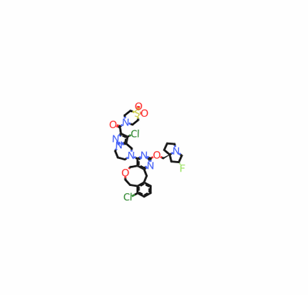 O=C(c1nn2c(c1Cl)CN(c1nc(OC[C@@]34CCCN3C[C@H](F)C4)nc3c1COCCc1c(Cl)cccc1C3)CCC2)N1CCS(=O)(=O)CC1